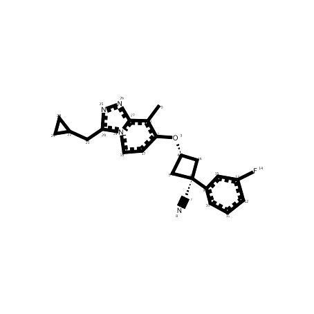 Cc1c(O[C@H]2C[C@](C#N)(c3cccc(F)c3)C2)ccn2c(CC3CC3)nnc12